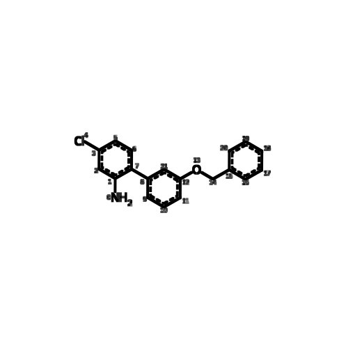 Nc1cc(Cl)ccc1-c1cccc(OCc2ccccc2)c1